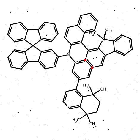 CC1(C)CCC(C)(C)c2c(-c3cccc(N(c4ccc5c(c4)C4(c6ccccc6-c6ccccc64)c4ccccc4-5)c4ccc5ccccc5c4-c4cccc5c4[Si](C)(C)c4ccccc4-5)c3)cccc21